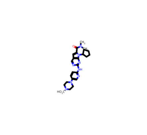 CN(C)C(=O)c1cc2cnc(Nc3ccc(N4CCN(C(=O)O)CC4)cn3)nc2n1C1CCCC1